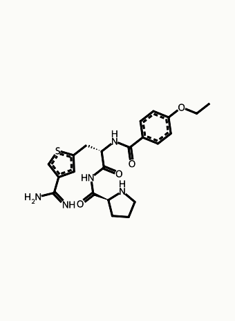 CCOc1ccc(C(=O)N[C@@H](Cc2cc(C(=N)N)cs2)C(=O)NC(=O)[C@@H]2CCCN2)cc1